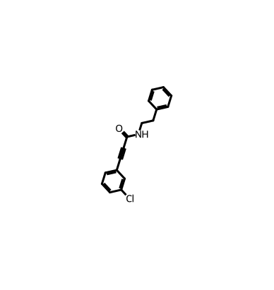 O=C(C#Cc1cccc(Cl)c1)NCCc1ccccc1